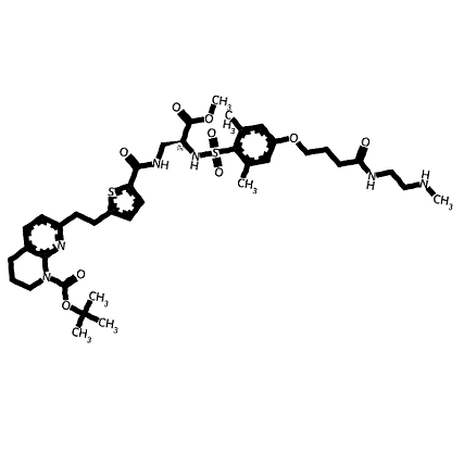 CNCCNC(=O)CCCOc1cc(C)c(S(=O)(=O)N[C@@H](CNC(=O)c2ccc(CCc3ccc4c(n3)N(C(=O)OC(C)(C)C)CCC4)s2)C(=O)OC)c(C)c1